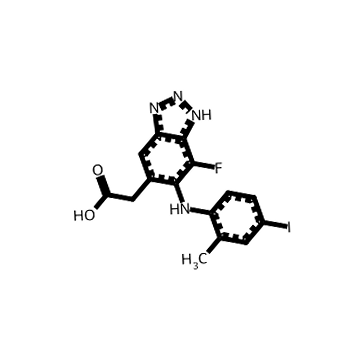 Cc1cc(I)ccc1Nc1c(CC(=O)O)cc2nn[nH]c2c1F